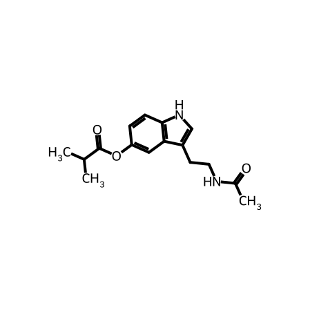 CC(=O)NCCc1c[nH]c2ccc(OC(=O)C(C)C)cc12